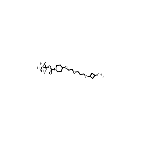 CC1CC(OCCCOCCOC2CCN(C(=O)OC(C)(C)C)CC2)C1